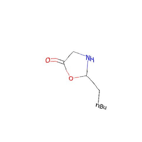 CCCCCC1NCC(=O)O1